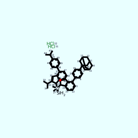 CC1=Cc2c(-c3ccc(C45CC6CC(CC(C6)C4)C5)cc3)cccc2[CH]1[Zr]([CH3])([CH3])(=[SiH2])[CH]1C(C(C)C)=Cc2c(-c3ccc(C(C)C)cc3)cccc21.Cl.Cl